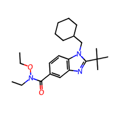 CCON(CC)C(=O)c1ccc2c(c1)nc(C(C)(C)C)n2CC1CCCCC1